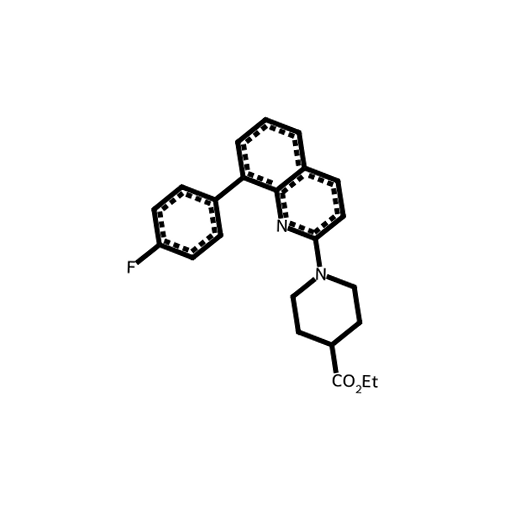 CCOC(=O)C1CCN(c2ccc3cccc(-c4ccc(F)cc4)c3n2)CC1